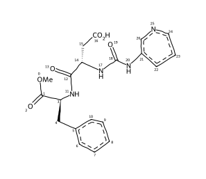 COC(=O)[C@H](Cc1ccccc1)NC(=O)[C@H](CC(=O)O)NC(=O)Nc1cccnc1